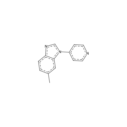 Cc1ccc2ncn(-c3ccncc3)c2c1